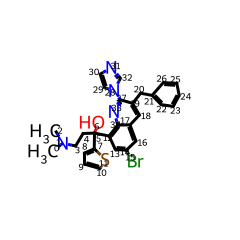 CN(C)CCC(O)(c1cccs1)c1cc(Br)cc2cc(Cc3ccccc3)c(-n3ccnc3)nc12